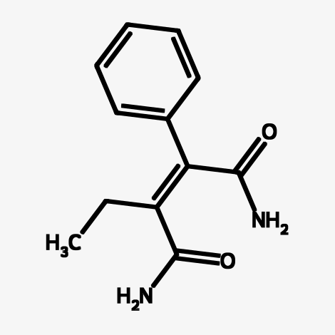 CC/C(C(N)=O)=C(/C(N)=O)c1ccccc1